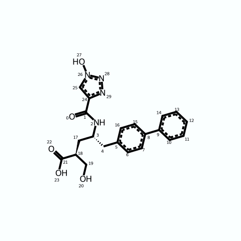 O=C(N[C@H](Cc1ccc(-c2ccccc2)cc1)C[C@@H](CO)C(=O)O)c1cn(O)nn1